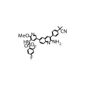 COc1ncc(-c2ccc3nc(N)c(-c4ccc(C(C)(C)C#N)cc4)cc3c2)cc1NS(=O)(=O)c1ccc(F)cc1F